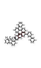 CC1(C)c2ccccc2-c2cccc(-c3ccc(N(c4ccc(-c5cccc(-c6ccccc6)c5)cc4)c4cccc(-c5ccccc5)c4-c4ccccc4-c4ccccc4)cc3)c21